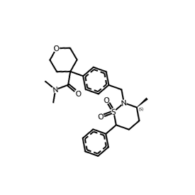 C[C@H]1CCC(c2ccccc2)S(=O)(=O)N1Cc1ccc(C2(C(=O)N(C)C)CCOCC2)cc1